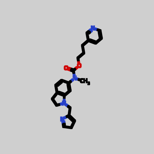 CN(C(=O)OCCCc1cccnc1)c1ccc2c(c1)N(CC1=CCC=N1)CC2